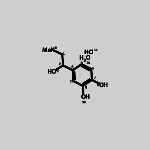 CNCC(O)c1ccc(O)c(O)c1.Cl.O